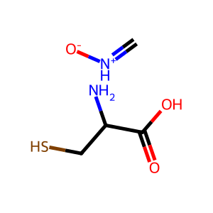 C=[NH+][O-].NC(CS)C(=O)O